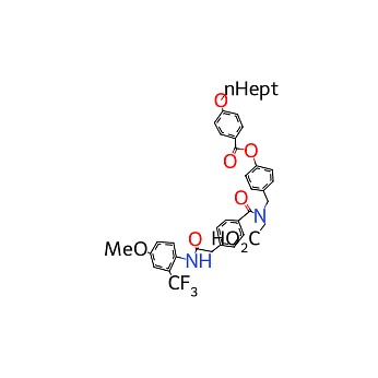 CCCCCCCOc1ccc(C(=O)Oc2ccc(CN(CC(=O)O)C(=O)c3ccc(CC(=O)Nc4ccc(OC)cc4C(F)(F)F)cc3)cc2)cc1